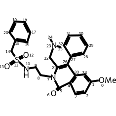 COc1ccc2c(=O)n(CCNS(=O)(=O)Cc3ccccc3)c(CN(C)C)c(-c3ccccc3)c2c1